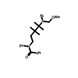 CCCC(=O)N(CCC(C)(C)C(C)(C)N(COC)C(C)=O)C(C)C